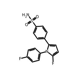 NS(=O)(=O)c1ccc(-c2ccc(F)n2-c2ccc(F)cc2)cc1